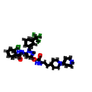 O=C(NCCC1CCN(c2ccncc2)CC1)Oc1cc(NC(=O)c2ccccc2Cl)n(-c2cccc(C(F)(F)F)c2)n1